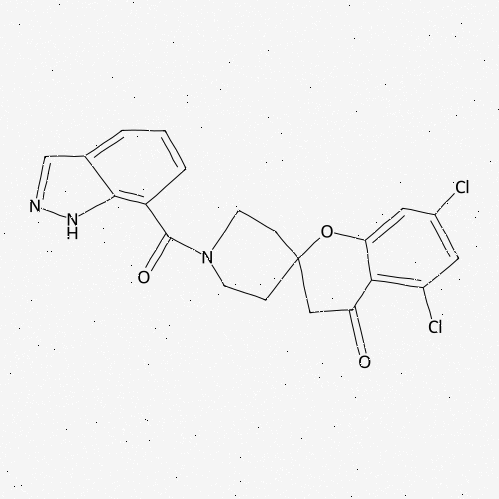 O=C1CC2(CCN(C(=O)c3cccc4cn[nH]c34)CC2)Oc2cc(Cl)cc(Cl)c21